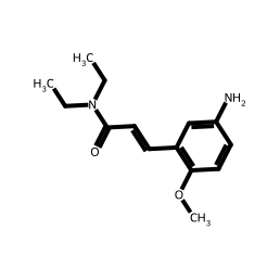 CCN(CC)C(=O)C=Cc1cc(N)ccc1OC